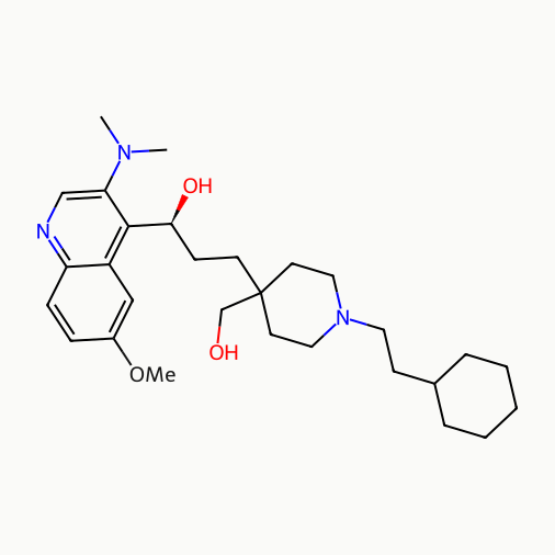 COc1ccc2ncc(N(C)C)c([C@@H](O)CCC3(CO)CCN(CCC4CCCCC4)CC3)c2c1